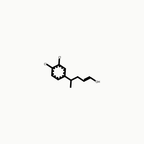 CC(CC=CO)c1ccc(Cl)c(Cl)c1